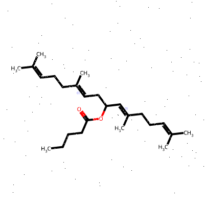 CCCCC(=O)OC(/C=C(\C)CCC=C(C)C)C/C=C(\C)CCC=C(C)C